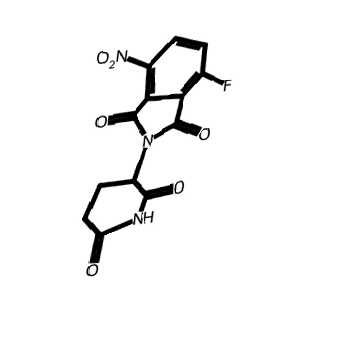 O=C1CCC(N2C(=O)c3c(F)ccc([N+](=O)[O-])c3C2=O)C(=O)N1